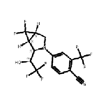 N#Cc1ccc(N2C[C@@H]3[C@H]([C@@H]2[C@H](O)C(F)(F)F)C3(F)F)cc1C(F)(F)F